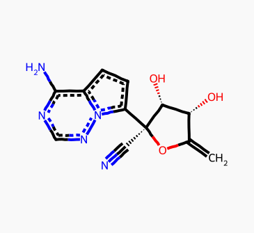 C=C1O[C@@](C#N)(c2ccc3c(N)ncnn23)[C@H](O)[C@@H]1O